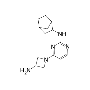 NC1CN(c2ccnc(NC3CC4CCC3C4)n2)C1